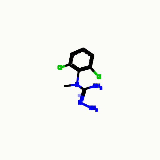 CN(/C(N)=N/N)c1c(Cl)cccc1Cl